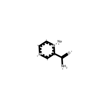 NC(=O)c1cnccn1.[Na]